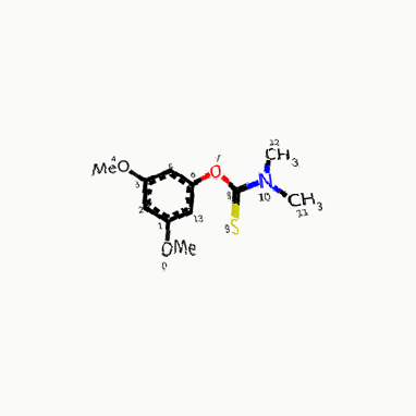 COc1cc(OC)cc(OC(=S)N(C)C)c1